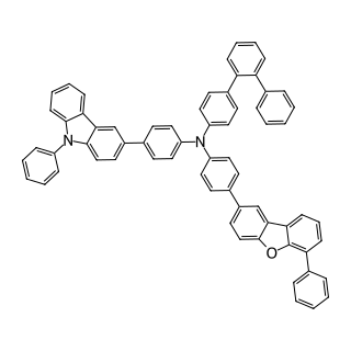 c1ccc(-c2ccccc2-c2ccc(N(c3ccc(-c4ccc5oc6c(-c7ccccc7)cccc6c5c4)cc3)c3ccc(-c4ccc5c(c4)c4ccccc4n5-c4ccccc4)cc3)cc2)cc1